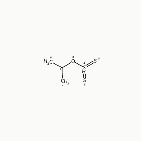 CC(C)O[SH](=S)=S